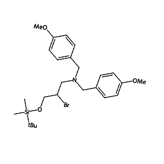 COc1ccc(CN(Cc2ccc(OC)cc2)CC(Br)CO[Si](C)(C)C(C)(C)C)cc1